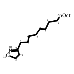 CCCCCCCCCCCCCCCCC1=NOCC1